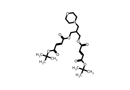 CC(C)(C)OC(=O)/C=C/C(=O)OCC(COC(=O)/C=C/C(=O)OC(C)(C)C)CN1CCOCC1